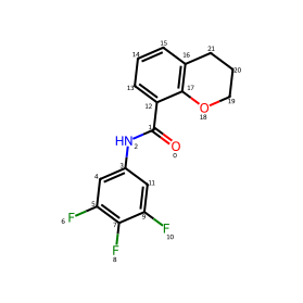 O=C(Nc1cc(F)c(F)c(F)c1)c1cccc2c1OCCC2